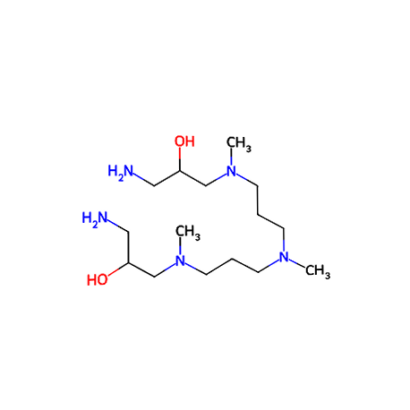 CN(CCCN(C)CC(O)CN)CCCN(C)CC(O)CN